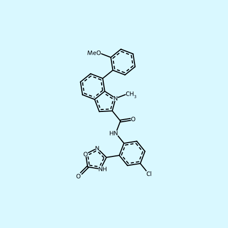 COc1ccccc1-c1cccc2cc(C(=O)Nc3ccc(Cl)cc3-c3noc(=O)[nH]3)n(C)c12